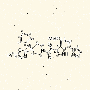 COc1cnc(-n2ccnn2)c2[nH]cc(C(=O)C(=O)N3CCC(=C(c4ccccc4)c4nnc(C(C)C)o4)CC3)c12